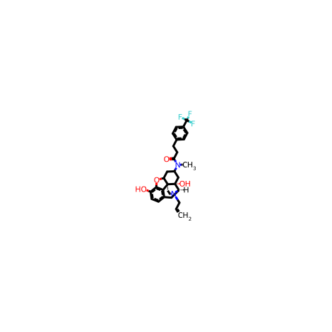 C=CCN1CC[C@]23c4c5ccc(O)c4OC2CC(N(C)C(=O)CCc2ccc(C(F)(F)F)cc2)C[C@@]3(O)[C@H]1C5